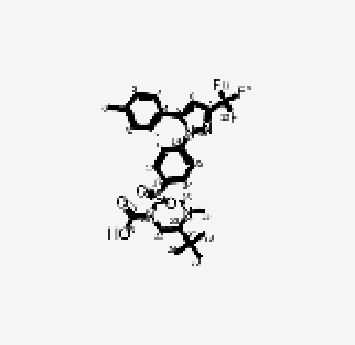 Cc1ccc(-c2cc(C(F)(F)F)nn2-c2ccc(S(=O)(=O)N(CC(N(C)C)C(C)(C)C)C(=O)O)cc2)cc1